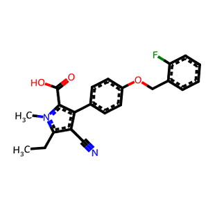 CCc1c(C#N)c(-c2ccc(OCc3ccccc3F)cc2)c(C(=O)O)n1C